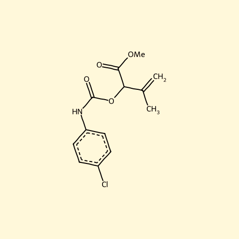 C=C(C)C(OC(=O)Nc1ccc(Cl)cc1)C(=O)OC